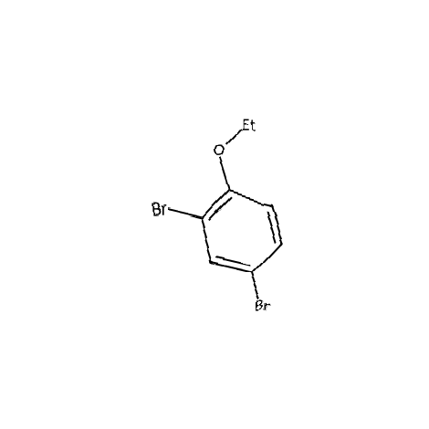 CCOc1ccc(Br)cc1Br